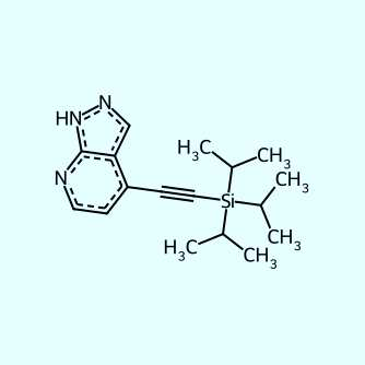 CC(C)[Si](C#Cc1ccnc2[nH]ncc12)(C(C)C)C(C)C